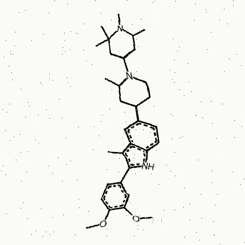 COc1ccc(-c2[nH]c3ccc(C4CCN(C5CC(C)N(C)C(C)(C)C5)C(C)C4)cc3c2C)cc1OC